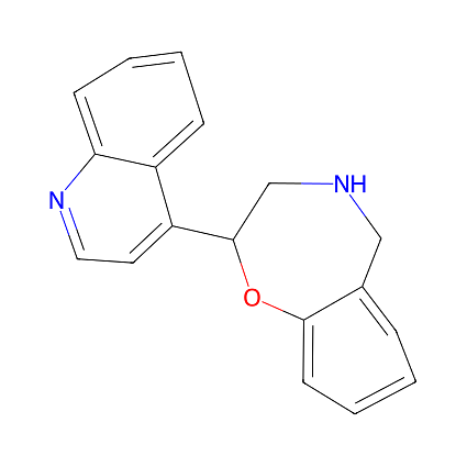 c1ccc2c(c1)CNCC(c1ccnc3ccccc13)O2